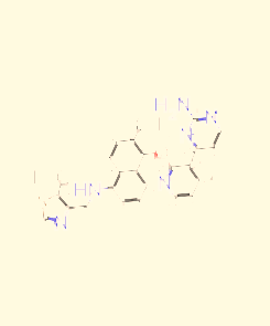 Cc1ccc2c(NCc3ncsc3C)cccc2c1Oc1ncccc1-c1ccnc(N)n1